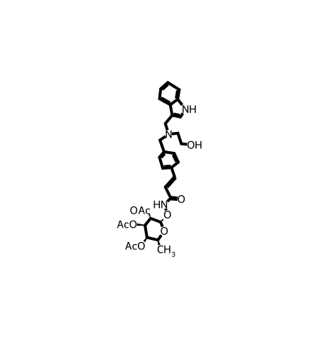 CC(=O)O[C@H]1[C@H](OC(C)=O)[C@H](ONC(=O)/C=C/c2ccc(CN(CCO)Cc3c[nH]c4ccccc34)cc2)O[C@@H](C)[C@H]1OC(C)=O